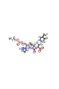 CCOC(=O)CO/N=C(/C(=O)NC1C(=O)N2C(C(=O)[O-])=C(C[n+]3ccc4ccsc4c3)CS[C@H]12)c1ccn[nH]1